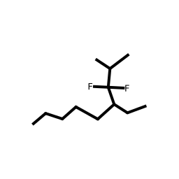 CCCCCC(CC)C(F)(F)C(C)C